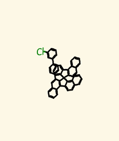 Clc1cccc(-c2ccc(-c3cc4ccccc4c4c3C3(c5ccccc5-c5c3ccc3ccccc53)c3c-4ccc4ccccc34)cc2)c1